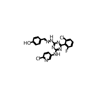 Oc1ccc(C=NNc2nc(Nc3ccc(Cl)nc3)nc(-c3c(F)cccc3Cl)n2)cc1